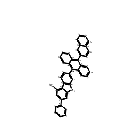 Oc1cc(-c2ccccc2)cc2oc3cc(-c4c5ccccc5c(-c5ccc6ccccc6c5)c5ccccc45)ccc3c12